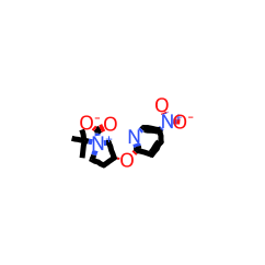 CC(C)(C)[N+]1(C(=O)[O-])CC[C@@H](Oc2ccc([N+](=O)[O-])cn2)C1